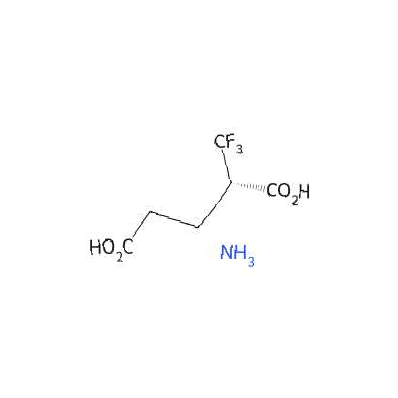 N.O=C(O)CC[C@@H](C(=O)O)C(F)(F)F